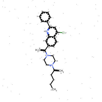 C=C(CCCC)N1CCN(C(=C)c2ccc3c(Cl)cc(-c4ccccc4)nc3c2)CC1